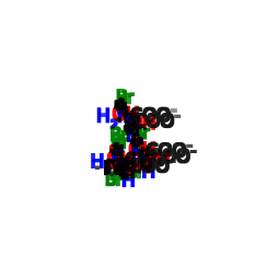 NC(Cc1cc(Br)ccc1O)C(CC(=O)[O-])(Cc1cc(Br)ccc1O)NCC(=O)[O-].NC(Cc1cc(Br)ccc1O)C(CC(=O)[O-])(Cc1cc(Br)ccc1O)NCC(=O)[O-].NC(Cc1cc(Br)ccc1O)C(CC(=O)[O-])(Cc1cc(Br)ccc1O)NCC(=O)[O-].[Fe+3].[Fe+3]